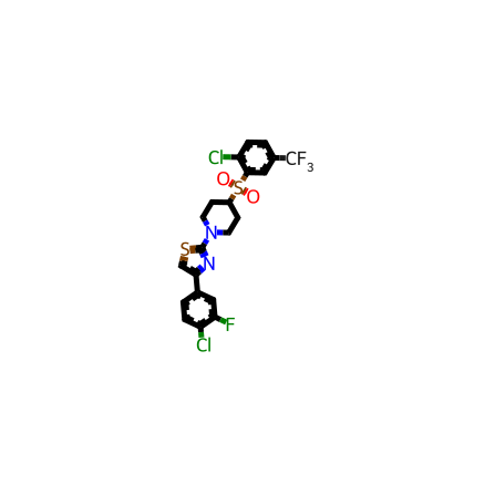 O=S(=O)(c1cc(C(F)(F)F)ccc1Cl)C1CCN(c2nc(-c3ccc(Cl)c(F)c3)cs2)CC1